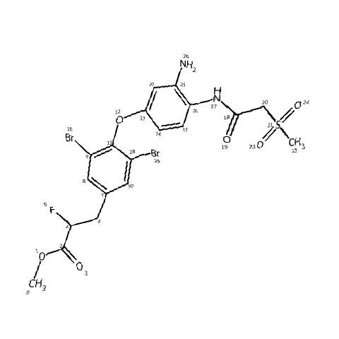 COC(=O)C(F)Cc1cc(Br)c(Oc2ccc(NC(=O)CS(C)(=O)=O)c(N)c2)c(Br)c1